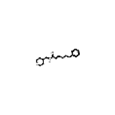 O=C(C=CCCCc1ccccc1)NCC1CCOCC1